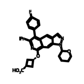 CC(C)c1nc(O[C@H]2C[C@H](C(=O)O)C2)c2cc3c(cnn3C3CCCCO3)cc2c1-c1ccc(F)cc1